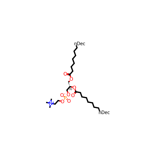 CCCCCCCCCCCCCCCCCC(=O)OC[C@@H](COP(=O)([O-])OCC[N+](C)(C)C)OC(=O)CCCCCCCCCCCCCCCCC